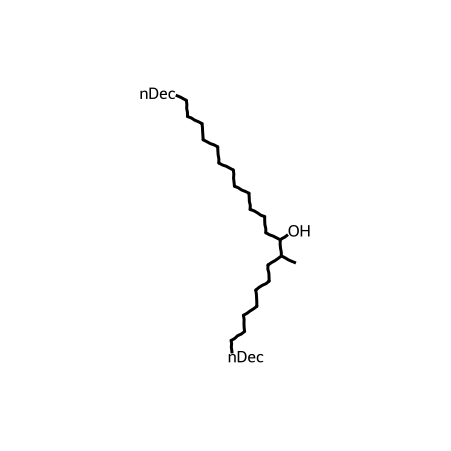 CCCCCCCCCCCCCCCCCCCCCCC(O)C(C)CCCCCCCCCCCCCCCCC